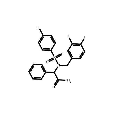 NC(=O)C(c1ccccc1)N(Cc1ccc(F)c(F)c1)S(=O)(=O)c1ccc(Cl)cc1